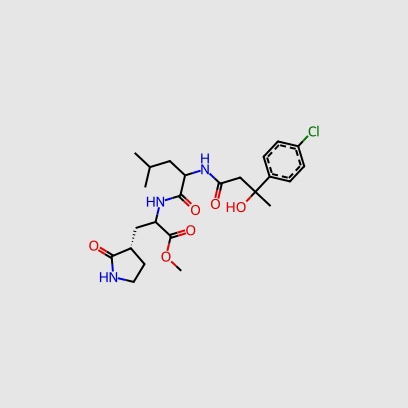 COC(=O)C(C[C@@H]1CCNC1=O)NC(=O)C(CC(C)C)NC(=O)CC(C)(O)c1ccc(Cl)cc1